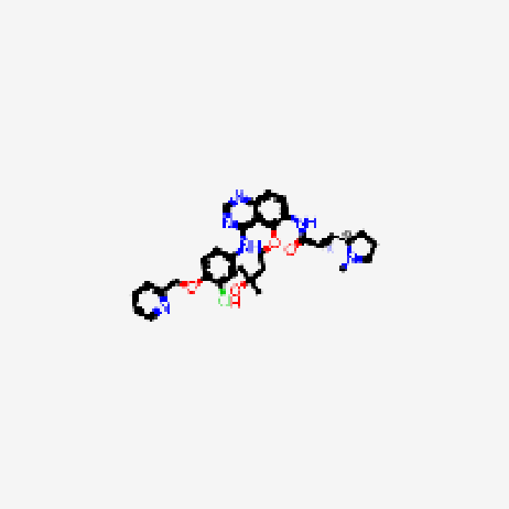 CN1CCC[C@@H]1/C=C/C(=O)Nc1ccc2ncnc(Nc3ccc(OCc4ccccn4)c(Cl)c3)c2c1OCCC(C)(C)O